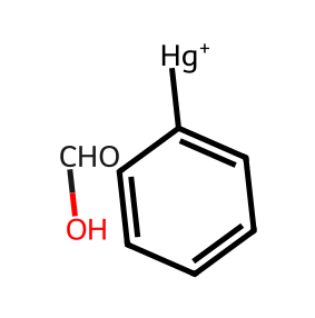 O=[C-]O.[Hg+][c]1ccccc1